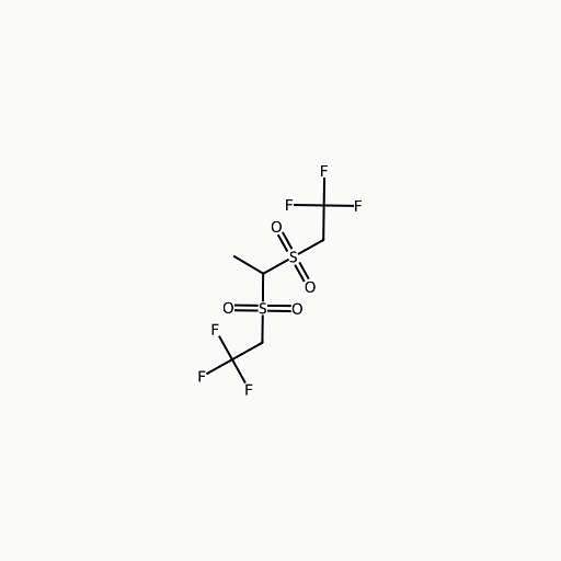 CC(S(=O)(=O)CC(F)(F)F)S(=O)(=O)CC(F)(F)F